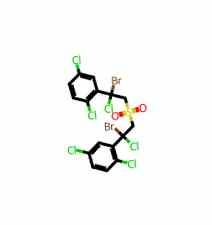 O=S(=O)(CC(Cl)(Br)c1cc(Cl)ccc1Cl)CC(Cl)(Br)c1cc(Cl)ccc1Cl